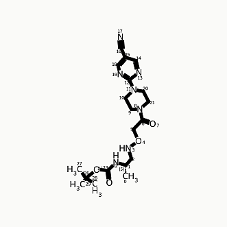 C[C@@H](CNOCC(=O)N1CCN(c2ncc(C#N)cn2)CC1)NC(=O)OC(C)(C)C